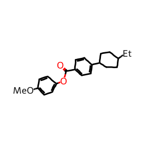 CCC1CCC(c2ccc(C(=O)Oc3ccc(OC)cc3)cc2)CC1